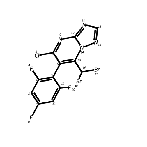 Fc1cc(F)c(-c2c(Cl)nc3ncnn3c2C(Br)Br)c(F)c1